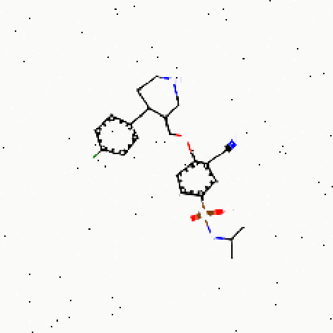 CC(C)NS(=O)(=O)c1ccc(OCC2CNCCC2c2ccc(Cl)cc2)c(C#N)c1